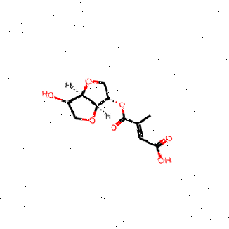 C/C(=C\C(=O)O)C(=O)O[C@H]1CO[C@H]2[C@@H]1OC[C@H]2O